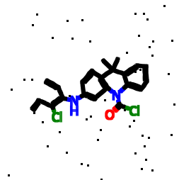 C=C/C(Cl)=C(\C=C)Nc1ccc2c(c1)N(C(=O)Cl)c1ccccc1C2(C)C